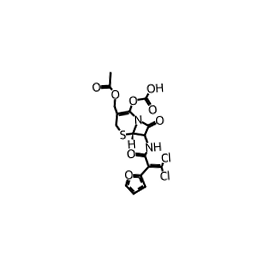 CC(=O)OCC1=C(OC(=O)O)N2C(=O)C(NC(=O)C(=C(Cl)Cl)c3ccco3)[C@@H]2SC1